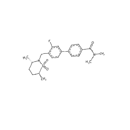 CC1CC[C@H](C)N(Cc2ccc(-c3ccc(C(=O)N(C)C)cc3)cc2F)S1(=O)=O